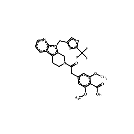 COc1cc(CC(=O)N2CCc3c(n(Cc4cnc(C(F)(F)F)s4)c4ncccc34)C2)cc(OC)c1C(=O)O